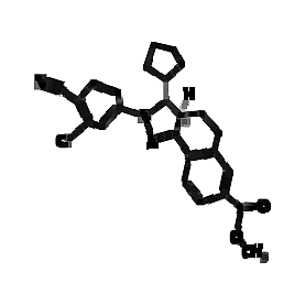 COC(=O)c1ccc2c(c1)CC[C@H]1C2=NN(c2ccc(C#N)c(Cl)c2)C1C1CCCC1